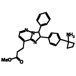 COC(=O)CCC1=CC=NN2C1=NC(c1ccc(C3(N)CCC3)cc1)C2c1ccccc1